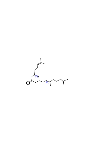 CC(C)=CCC/C(C)=C/CC(/C=C(\C)CCC=C(C)C)C[C]=O